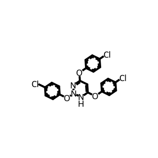 Clc1ccc(OC2=CC(Oc3ccc(Cl)cc3)=NN(Oc3ccc(Cl)cc3)N2)cc1